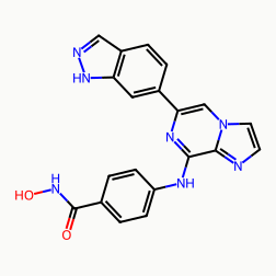 O=C(NO)c1ccc(Nc2nc(-c3ccc4cn[nH]c4c3)cn3ccnc23)cc1